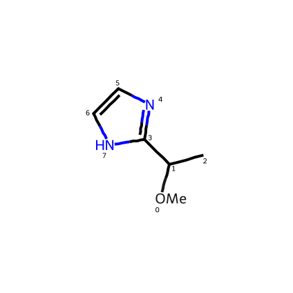 COC(C)c1ncc[nH]1